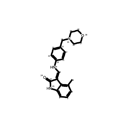 Cc1cccc2c1/C(=C/Nc1ccc(CN3CCOCC3)cc1)C(=O)N2